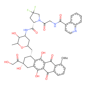 COc1cccc2c1C(=O)c1c(O)c3c(c(O)c1C2=O)C[C@@](O)(C(=O)CO)C[C@@H]3CC1CC(NC(=O)[C@@H]2CC(F)(F)CN2C(=O)CNC(=O)c2ccnc3ccccc23)C(O)C(C)O1